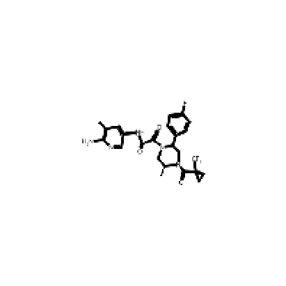 Cc1cc(NC(=O)C(=O)N2C[C@H](C)N(C(=O)C3(C(F)(F)F)CC3)CC2c2ccc(F)cc2)cnc1N